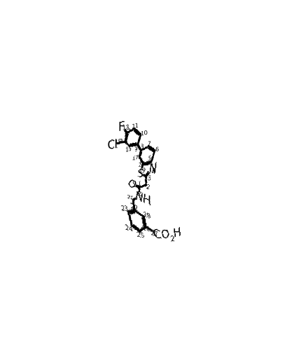 O=C(Cc1nc2ccc(-c3ccc(F)c(Cl)c3)cc2s1)NCc1cccc(C(=O)O)c1